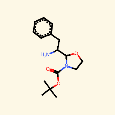 CC(C)(C)OC(=O)N1CCOC1C(N)Cc1ccccc1